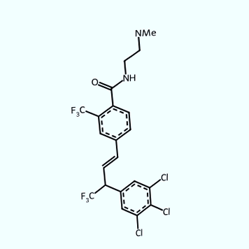 CNCCNC(=O)c1ccc(C=CC(c2cc(Cl)c(Cl)c(Cl)c2)C(F)(F)F)cc1C(F)(F)F